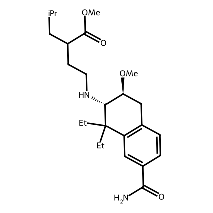 CCC1(CC)c2cc(C(N)=O)ccc2C[C@H](OC)[C@H]1NCCC(CC(C)C)C(=O)OC